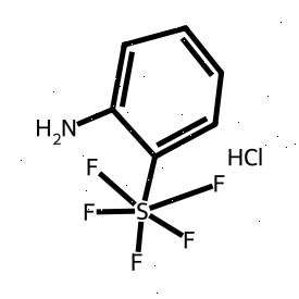 Cl.Nc1ccccc1S(F)(F)(F)(F)F